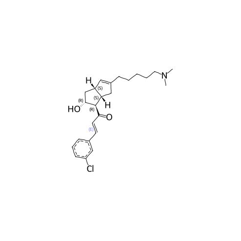 CN(C)CCCCCC1=C[C@H]2C[C@@H](O)[C@H](C(=O)/C=C/c3cccc(Cl)c3)[C@H]2C1